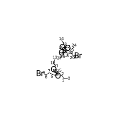 CCCO[Si](C)(CCCBr)OCCC.CCO[Si](CCCBr)(OCC)OCC